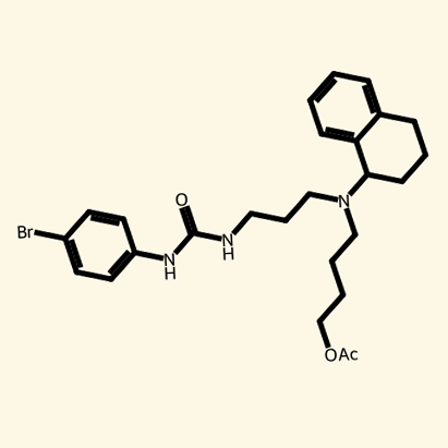 CC(=O)OCCCCN(CCCNC(=O)Nc1ccc(Br)cc1)C1CCCc2ccccc21